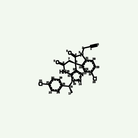 C#CCN1C(=O)[C@]2(CC(=O)Nc3c2nnn3[C@@H](C)c2ccc(Cl)cc2)c2cc(Cl)ccc21